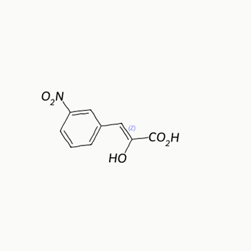 O=C(O)/C(O)=C/c1cccc([N+](=O)[O-])c1